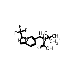 CC(C)(C)N(Cc1ccc2cnc(C(F)(F)F)n2c1)C(=O)O